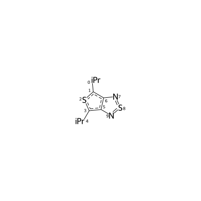 CC(C)c1sc(C(C)C)c2c1N=S=N2